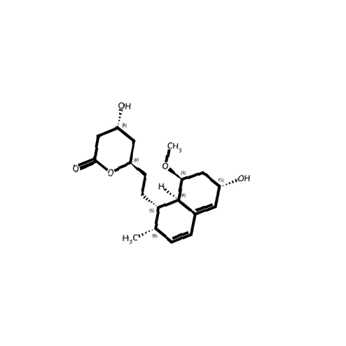 CO[C@H]1C[C@H](O)C=C2C=C[C@H](C)[C@H](CC[C@@H]3C[C@@H](O)CC(=O)O3)[C@H]21